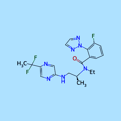 CCN(C(=O)c1cccc(F)c1-n1nccn1)[C@@H](C)CNc1cnc(C(C)(F)F)cn1